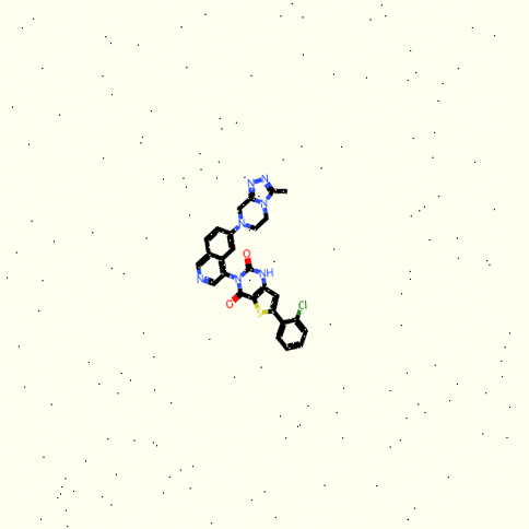 Cc1nnc2n1CCN(c1ccc3cncc(-n4c(=O)[nH]c5cc(-c6ccccc6Cl)sc5c4=O)c3c1)C2